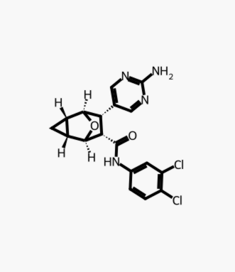 Nc1ncc([C@H]2[C@H]3O[C@H]([C@@H]4C[C@@H]43)[C@H]2C(=O)Nc2ccc(Cl)c(Cl)c2)cn1